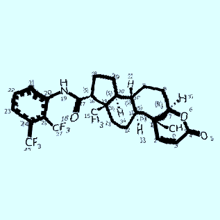 C[C@]12C=CC(=O)O[C@@H]1CC[C@@H]1[C@@H]2CC[C@]2(C)[C@@H](C(=O)Nc3cccc(C(F)(F)F)c3C(F)(F)F)CC[C@@H]12